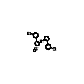 CCc1cccc(C2=[C]([Hf+2][C]3=C(c4cccc(CC)c4)C=CC3)CC=C2)c1.[Cl-].[Cl-]